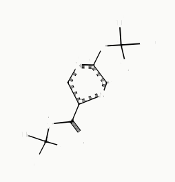 [2H]C([2H])([2H])OC(=O)c1cnc(OC([2H])([2H])[2H])cn1